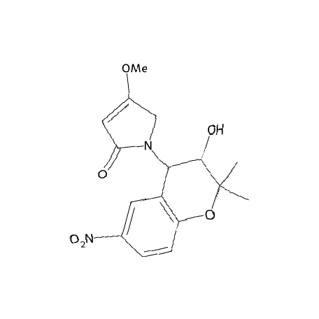 COC1=CC(=O)N(C2c3cc([N+](=O)[O-])ccc3OC(C)(C)C2O)C1